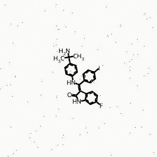 CC(C)(N)c1ccc(N/C(=C2\C(=O)Nc3cc(F)ccc32)c2ccc(I)cc2)cc1